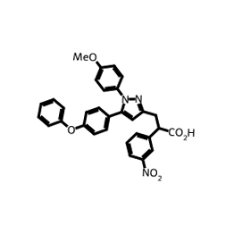 COc1ccc(-n2nc(CC(C(=O)O)c3cccc([N+](=O)[O-])c3)cc2-c2ccc(Oc3ccccc3)cc2)cc1